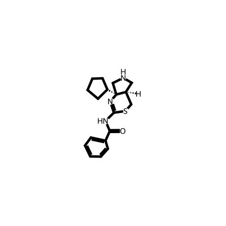 O=C(NC1=N[C@@]2(C3CCCC3)CNC[C@H]2CS1)c1ccccc1